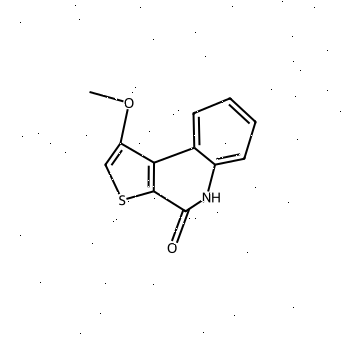 COc1csc2c(=O)[nH]c3ccccc3c12